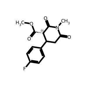 COC(=O)[C@@H]1C(=O)N(C)C(=O)CC1c1ccc(F)cc1